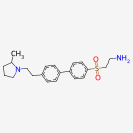 CC1CCCN1CCc1ccc(-c2ccc(S(=O)(=O)CCN)cc2)cc1